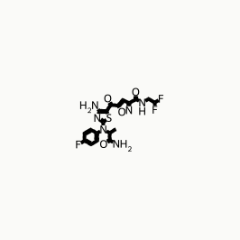 CC(C(N)=O)N(c1ccc(F)cc1)c1nc(N)c(C(=O)c2cc(C(=O)NCC(F)F)no2)s1